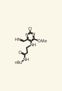 CCCCNC(=O)CCNc1c(C=N)nc(Cl)nc1OC